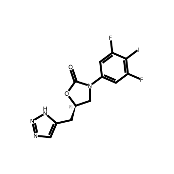 O=C1O[C@H](Cc2cnn[nH]2)CN1c1cc(F)c(I)c(F)c1